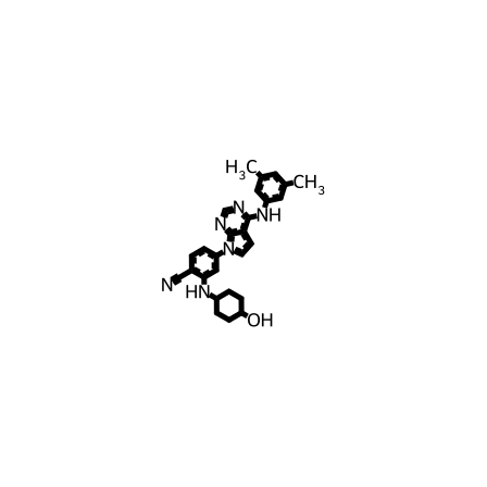 Cc1cc(C)cc(Nc2ncnc3c2ccn3-c2ccc(C#N)c(NC3CCC(O)CC3)c2)c1